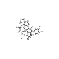 Cc1ccc(-c2c(C)c(-c3ccc4c(c3)CCO4)c(C(OC(C)(C)I)C(=O)O)c3c2[nH]c(=O)n3C2CC2)cc1C